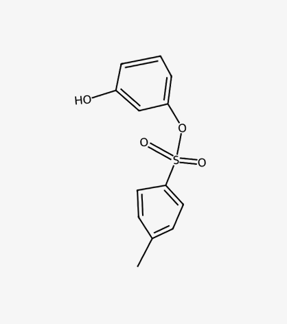 Cc1ccc(S(=O)(=O)Oc2cccc(O)c2)cc1